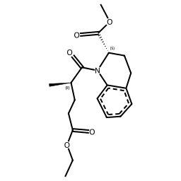 CCOC(=O)CC[C@@H](C)C(=O)N1c2ccccc2CC[C@H]1C(=O)OC